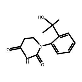 CC(C)(O)c1ccccc1N1CCC(=O)NC1=O